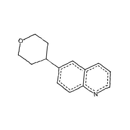 c1cnc2ccc(C3CCOCC3)cc2c1